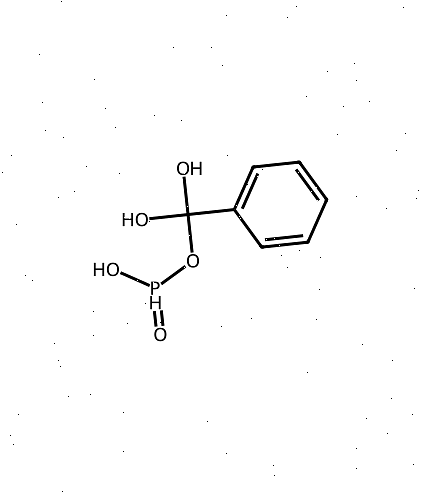 O=[PH](O)OC(O)(O)c1ccccc1